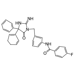 N=C1NC(C2=CCCC=C2)(c2ccccc2)C(=O)N1Cc1cccc(NC(=O)c2ccc(F)cc2)c1